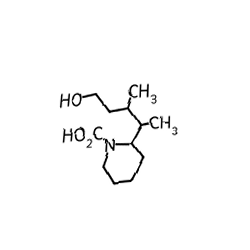 CC(CCO)C(C)C1CCCCN1C(=O)O